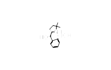 CC1(C)CC[C@H]([C@@H](O)c2ccccc2Cl)N1.Cl